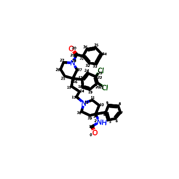 O=CNC1(c2ccccc2)CCN(CCCC2(c3ccc(Cl)c(Cl)c3)CCCN(C(=O)c3ccccc3)C2)CC1